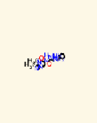 Cc1ncn2c1N(C)C(=O)C(NC(=O)/C(N)=C/N(N)Cc1ccccc1)CC2